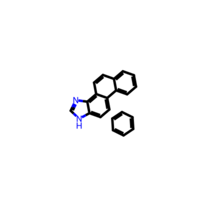 c1ccc2c(c1)ccc1c2ccc2[nH]cnc21.c1ccccc1